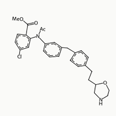 COC(=O)c1ccc(Cl)cc1N(C(C)=O)c1cccc(Cc2ccc(CCC3CNCCO3)cc2)c1